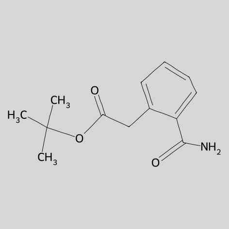 CC(C)(C)OC(=O)Cc1ccccc1C(N)=O